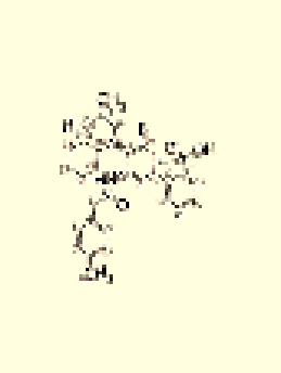 Cc1ccc(CC(=O)Nc2cc(-c3ccccc3C(=O)O)cc(F)c2N(CC(C)C)C2CCCCC2)cc1